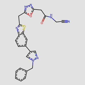 N#CCNC(=O)Cc1nnc(Cc2nc3ccc(-c4cnn(Cc5ccccc5)c4)cc3s2)o1